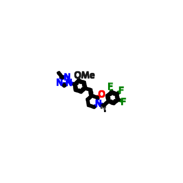 COc1cc(C=C2CCCN([C@@H](C)c3cc(F)c(F)c(F)c3)C2=O)ccc1-n1cnc(C)n1